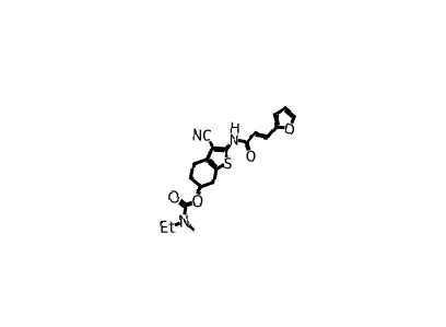 CCN(C)C(=O)OC1CCc2c(sc(NC(=O)C=Cc3ccco3)c2C#N)C1